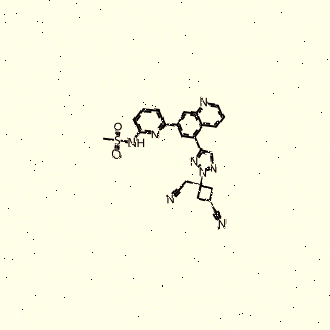 CS(=O)(=O)Nc1cccc(-c2cc(-c3cnn([C@]4(CC#N)C[C@@H](C#N)C4)n3)c3cccnc3c2)n1